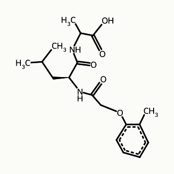 Cc1ccccc1OCC(=O)N[C@@H](CC(C)C)C(=O)NC(C)C(=O)O